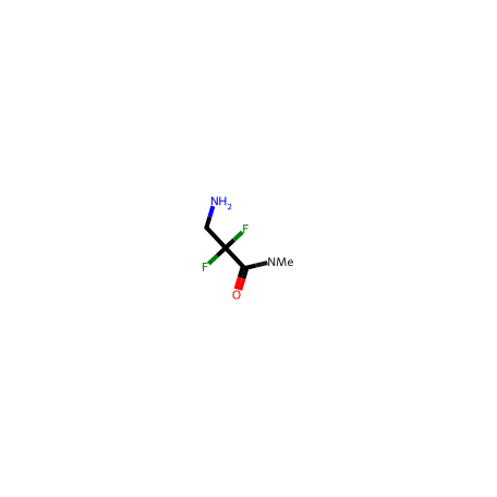 CNC(=O)C(F)(F)CN